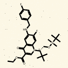 CCOC(=O)c1cn([C@H](CO[Si](C)(C)C(C)(C)C)C(C)(C)C)c2cc(F)c(NCc3ccc(F)cc3)cc2c1=O